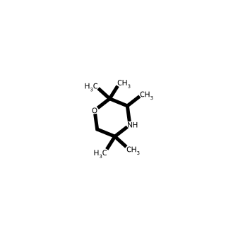 CC1NC(C)(C)COC1(C)C